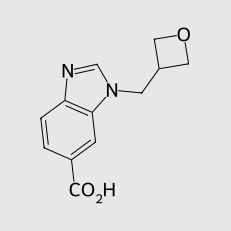 O=C(O)c1ccc2ncn(CC3COC3)c2c1